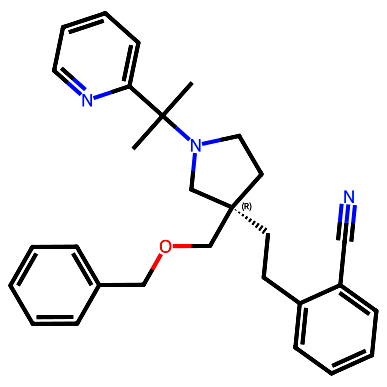 CC(C)(c1ccccn1)N1CC[C@@](CCc2ccccc2C#N)(COCc2ccccc2)C1